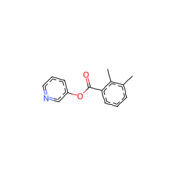 Cc1cccc(C(=O)Oc2cccnc2)c1C